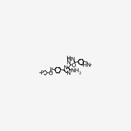 CNCc1ccc(C(=N)OC(=N)c2nc(-c3ccc(P(C)OC4CP(C)C4)cc3)cnc2N)cc1